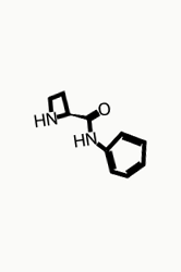 O=C(Nc1ccccc1)[C@@H]1CCN1